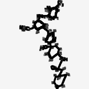 Cc1cc(Nc2nccc(C(F)(F)F)n2)cc(-c2cnc(C3(O)CCC(NC(=O)CC4CCOCC4)CC3)s2)c1